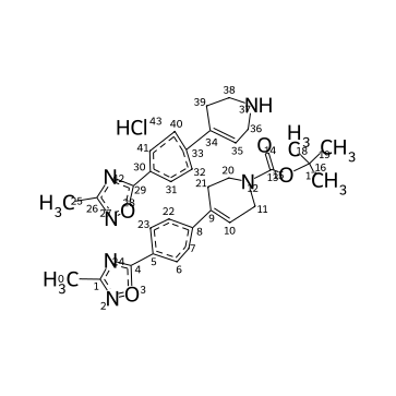 Cc1noc(-c2ccc(C3=CCN(C(=O)OC(C)(C)C)CC3)cc2)n1.Cc1noc(-c2ccc(C3=CCNCC3)cc2)n1.Cl